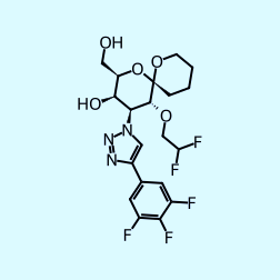 OC[C@H]1O[C@@]2(CCCCO2)[C@H](OCC(F)F)[C@@H](n2cc(-c3cc(F)c(F)c(F)c3)nn2)[C@H]1O